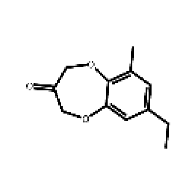 CCc1cc(C)c2c(c1)OCC(=O)CO2